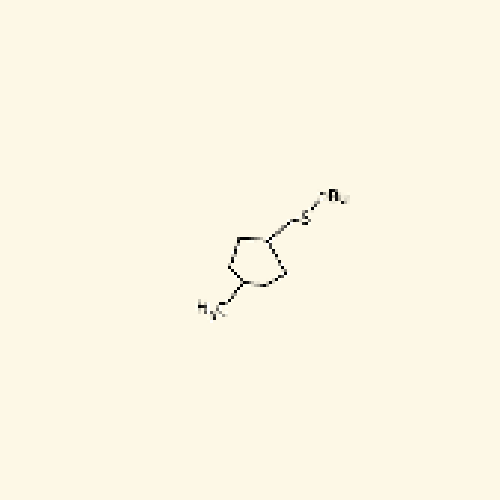 CCCCSCC1CCC(C)CC1